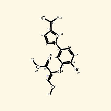 CO/C=C(\Oc1cc(-n2ccc(C(F)F)n2)ccc1Br)C(=O)OC